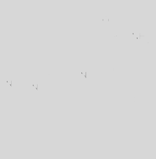 N#CN1CCC(N2C=C(C(N)=O)S[C@@H]2c2ccccc2Cl)C1